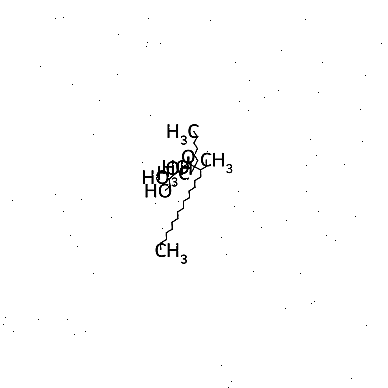 CCCCCCCCCCCCCCCC(CC)C(CC)(CCCCCC)C(=O)O.OCC(O)CO